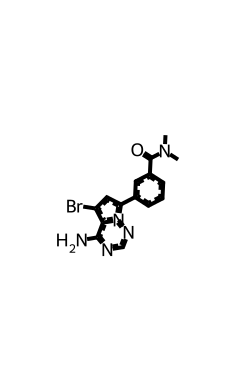 CN(C)C(=O)c1cccc(-c2cc(Br)c3c(N)ncnn23)c1